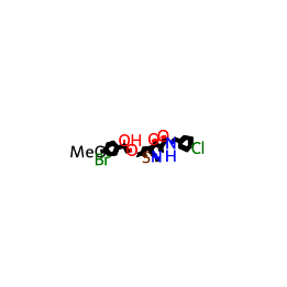 COc1ccc([C@@H](O)COCc2cc3c(=O)c(C(=O)NCc4ccc(Cl)cc4)cn(C)c3s2)cc1Br